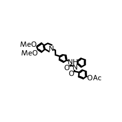 COc1cc2c(cc1OC)CN(CCc1ccc(NC(=O)N(C(=O)c3ccc(OC(C)=O)cc3)c3ccccc3)cc1)CC2